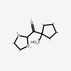 O=C(C1OCCO1)C1(S(=O)(=O)O)CCCC1